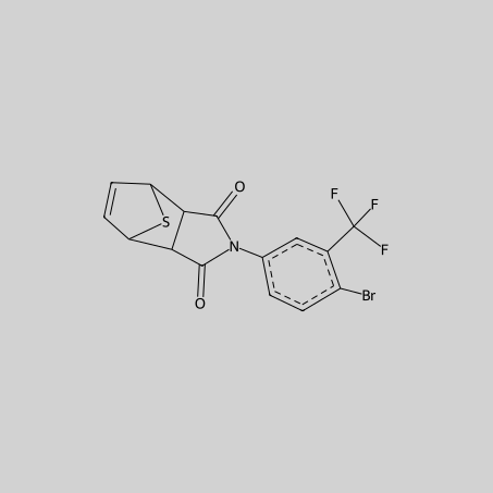 O=C1C2C3C=CC(S3)C2C(=O)N1c1ccc(Br)c(C(F)(F)F)c1